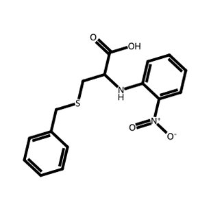 O=C(O)C(CSCc1ccccc1)Nc1ccccc1[N+](=O)[O-]